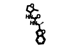 CC1OCCC1NC(=O)N[C@H](C)c1cc2ccccc2o1